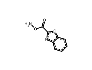 NOC(=O)c1nc2ccccc2o1